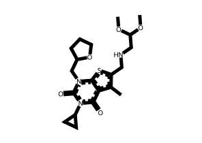 COC(CNCc1sc2c(c1C)c(=O)n(C1CC1)c(=O)n2CC1CCCO1)OC